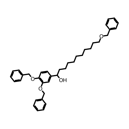 OC(CCCCCCCCCCOCc1ccccc1)c1ccc(OCc2ccccc2)c(OCc2ccccc2)c1